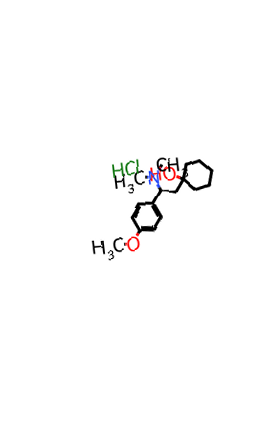 COc1ccc([C@H](CC2(O)CCCCC2)N(C)C)cc1.Cl